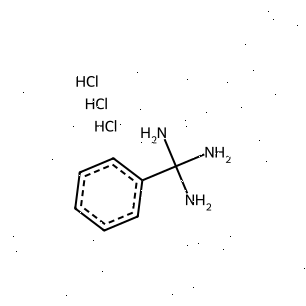 Cl.Cl.Cl.NC(N)(N)c1ccccc1